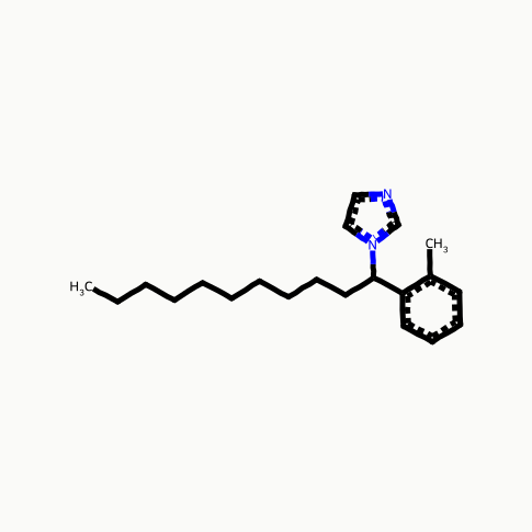 CCCCCCCCCCC(c1ccccc1C)n1ccnc1